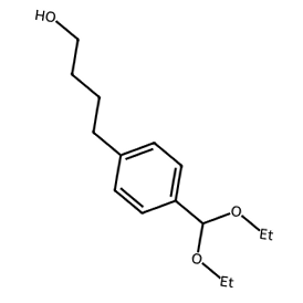 CCOC(OCC)c1ccc(CCCCO)cc1